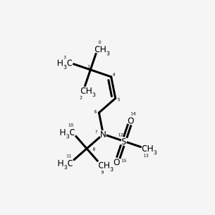 CC(C)(C)/C=C\CN(C(C)(C)C)S(C)(=O)=O